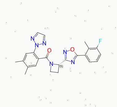 Cc1cc(C(=O)N2CC[C@H]2c2noc(-c3cccc(F)c3C)n2)c(-n2nccn2)cc1C